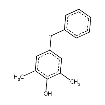 Cc1cc([CH]c2ccccc2)cc(C)c1O